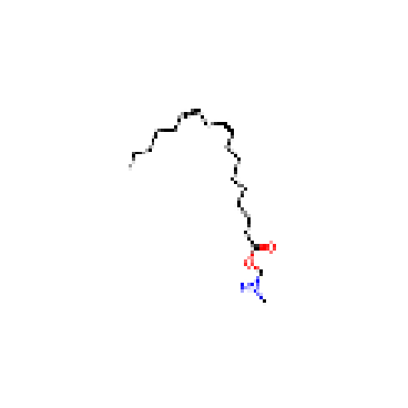 CCCCC/C=C\C/C=C\CCCCCCCC(=O)OCNC